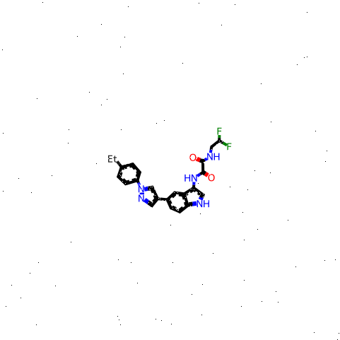 CCc1ccc(-n2cc(-c3ccc4[nH]cc(NC(=O)C(=O)NCC(F)F)c4c3)cn2)cc1